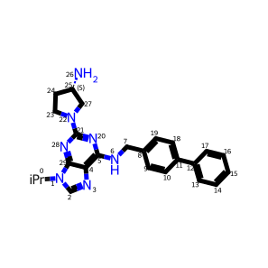 CC(C)n1cnc2c(NCc3ccc(-c4ccccc4)cc3)nc(N3CC[C@H](N)C3)nc21